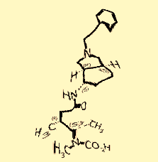 C[C@H](CC(=O)N[C@H]1CC[C@@H]2CN(Cc3ccccc3)C[C@@H]21)[C@H](C)N(C)C(=O)O